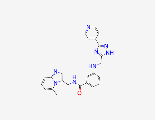 Cc1cccc2ncc(CNC(=O)c3cccc(NCc4nc(-c5ccncc5)n[nH]4)c3)n12